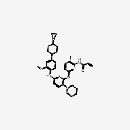 C=CC(=O)Nc1cc(Oc2nc(Nc3ccc(N4CCC(N5CC5)CC4)cc3OC)ccc2N2CCCCC2)ccc1C